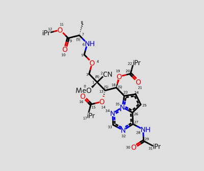 CO[C@](C#N)(COCN[C@@H](C)C(=O)OC(C)C)[C@@H](OC(=O)C(C)C)[C@@H](OC(=O)C(C)C)c1ccc2c(NC(=O)C(C)C)ncnn12